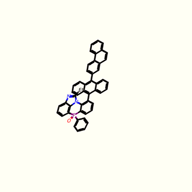 CCc1nc2cccc3c2n1-c1c(-c2c4ccccc4c(-c4ccc5c(ccc6ccccc65)c4)c4ccccc24)cccc1P3(=O)c1ccccc1